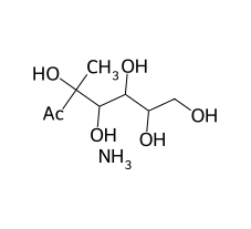 CC(=O)C(C)(O)C(O)C(O)C(O)CO.N